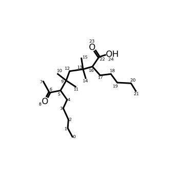 CCCCCC(C(C)=O)C(C)(C)CC(C)(C)C(CCCCC)C(=O)O